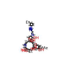 CCc1cccc(-n2cc(CCN(C)[C@H]3C[C@@H](C)O[C@@H](O[C@@H]4[C@@H](C)[C@H](O[C@H]5C[C@@](C)(OC)[C@@H](O)[C@H](C)O5)[C@@H](C)C(=O)O[C@H](CC)[C@@](C)(O)[C@H](O)[C@@H](C)N(C)C[C@H](C)C[C@@]4(C)O)[C@@H]3O)nn2)c1